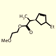 CCC1C=C[C@H](C(C)C(=O)OCCOC)C1